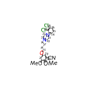 COc1cc(OCCCCN2CCN(c3cccc(Cl)c3Cl)CC2)cc(C#N)c1OC